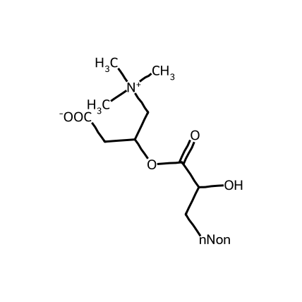 CCCCCCCCCCC(O)C(=O)OC(CC(=O)[O-])C[N+](C)(C)C